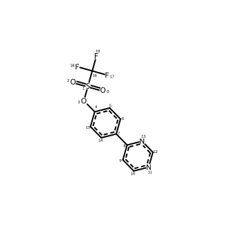 O=S(=O)(Oc1ccc(-c2ccncn2)cc1)C(F)(F)F